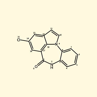 O=C1Nc2ccccc2-n2ccc3cc(Cl)cc1c32